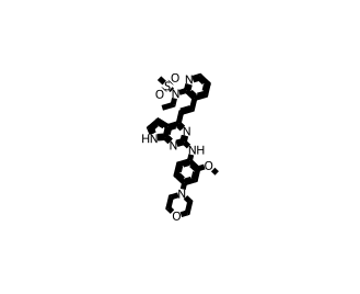 CCN(c1ncccc1C=Cc1nc(Nc2ccc(N3CCOCC3)cc2OC)nc2[nH]ccc12)S(C)(=O)=O